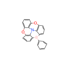 c1ccc(B2c3cccc4c3N3c5c(cccc5Oc5cccc2c53)O4)cc1